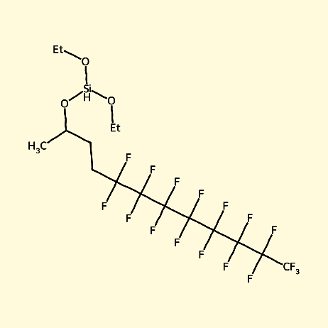 CCO[SiH](OCC)OC(C)CCC(F)(F)C(F)(F)C(F)(F)C(F)(F)C(F)(F)C(F)(F)C(F)(F)C(F)(F)F